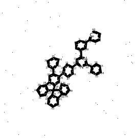 c1ccc(-c2cccc(-c3cc(-c4ccc(-c5cc6c(cc5-c5ccccc5)-c5ccccc5C65c6ccccc6-c6ccccc65)cc4)nc(-c4ccccc4)n3)c2)cc1